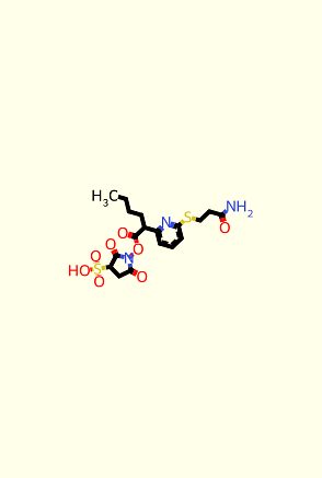 CCCCC(C(=O)ON1C(=O)CC(S(=O)(=O)O)C1=O)c1cccc(SCCC(N)=O)n1